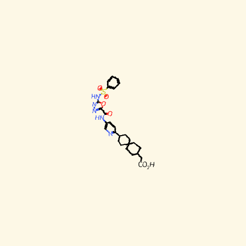 O=C(O)CC1CCC2(CC1)CCC(c1ccc(NC(=O)c3nnc(NS(=O)(=O)c4ccccc4)o3)cn1)CC2